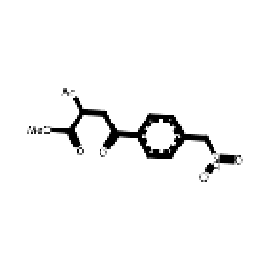 COC(=O)C(CC(=O)c1ccc(C[SH](=O)=O)cc1)C(C)=O